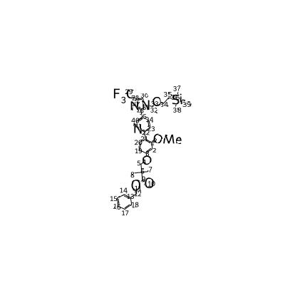 COc1cc(OCC(C)(C)C(=O)OCc2ccccc2)ccc1-c1ccc(-c2nc(C(F)(F)F)cn2COCC[Si](C)(C)C)cn1